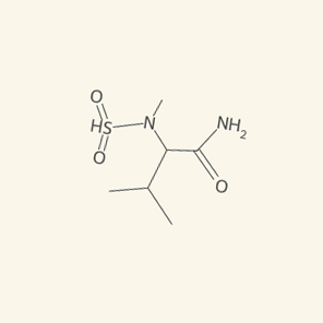 CC(C)C(C(N)=O)N(C)[SH](=O)=O